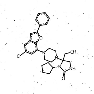 CCC1(N2CCN(c3cc(Cl)cc4cc(-c5ccccc5)oc34)CC2)CNC(=O)N1C1CCCC1